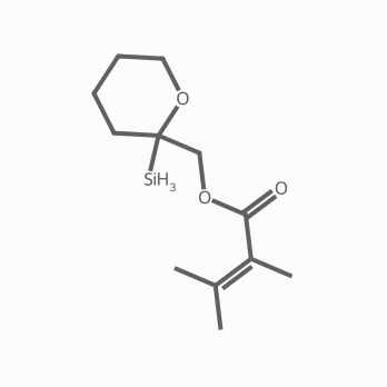 CC(C)=C(C)C(=O)OCC1([SiH3])CCCCO1